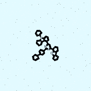 c1ccc(-c2ccc(-c3nc(-c4cccc5c4oc4ccccc45)cc(-c4cccc5c4c4ccccc4n5-c4ccccc4)n3)cc2)cc1